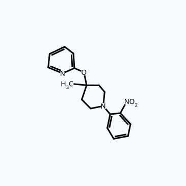 CC1(Oc2ccccn2)CCN(c2ccccc2[N+](=O)[O-])CC1